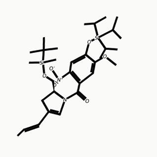 CC=CC1=CN(C(=O)c2cc(OC)c(O[Si](C(C)C)(C(C)C)C(C)C)cc2[N+](=O)[O-])[C@H](CO[Si](C)(C)C(C)(C)C)C1